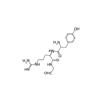 N=C(N)NCCCC(NC(=O)C(N)Cc1ccc(O)cc1)C(=O)NC[C]=O